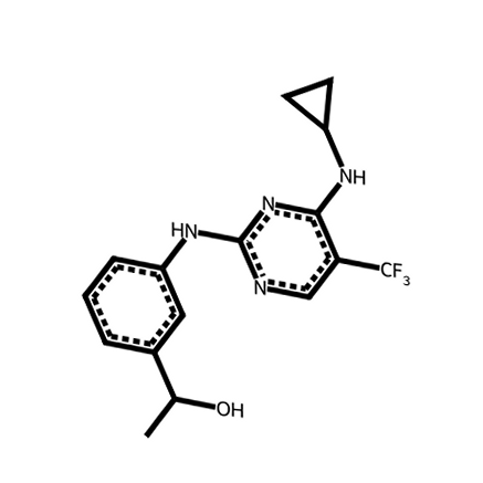 CC(O)c1cccc(Nc2ncc(C(F)(F)F)c(NC3CC3)n2)c1